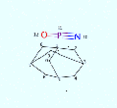 C1C2CC3CC1CC(C2)C3.N#P=O